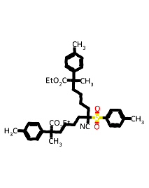 [C-]#[N+]C(CCCCC(C)(C(=O)OCC)c1ccc(C)cc1)(CCCCC(C)(C(=O)OCC)c1ccc(C)cc1)S(=O)(=O)c1ccc(C)cc1